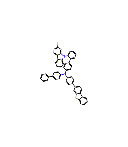 Fc1ccc2c3ccccc3n(-c3ccccc3-c3ccc(N(c4ccc(-c5ccccc5)cc4)c4ccc(-c5ccc6c(c5)sc5ccccc56)cc4)cc3)c2c1